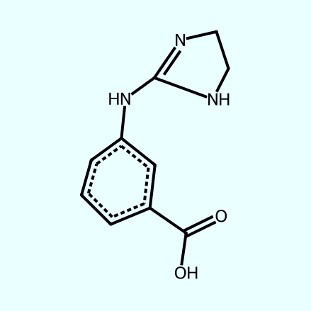 O=C(O)c1cccc(NC2=NCCN2)c1